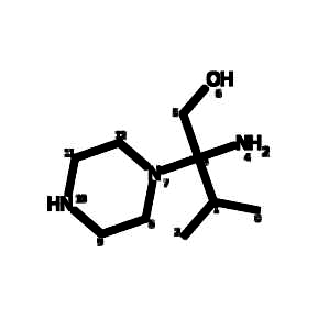 CC(C)C(N)(CO)N1CCNCC1